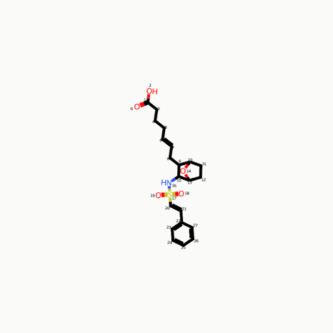 O=C(O)CCCC=CCC1C2CCC(O2)C1NS(=O)(=O)C=Cc1ccccc1